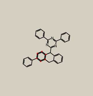 c1ccc(-c2ccc3c(c2)C2c4ccccc4C3(c3nc(-c4ccccc4)nc(-c4ccccc4)n3)c3ccccc32)cc1